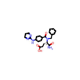 NC(=O)[C@H](CCC(=O)O)N(Cc1ccccc1)C(=O)c1ccc(Nc2ncccn2)cc1